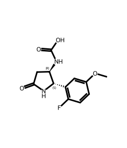 COc1ccc(F)c([C@@H]2NC(=O)C[C@H]2NC(=O)O)c1